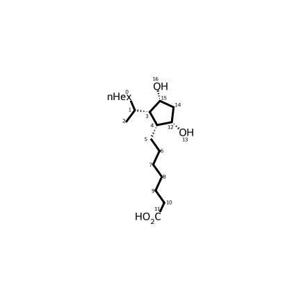 CCCCCCC(C)[C@H]1[C@@H](CCCCCCC(=O)O)[C@@H](O)C[C@H]1O